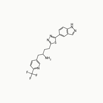 NC(CCc1nnc(-c2ccc3[nH]ncc3c2)s1)Cc1ccc(C(F)(F)F)nc1